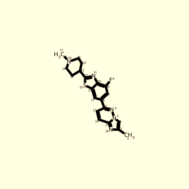 Cc1cn2nc(-c3cc(F)c4nc(C5CCN(C)CC5)sc4c3)ccc2n1